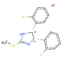 CSC1=N[C@@H](c2ccccc2F)[C@@H](c2ccccc2F)N1.I